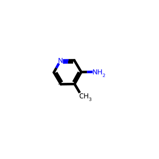 Cc1[c]cncc1N